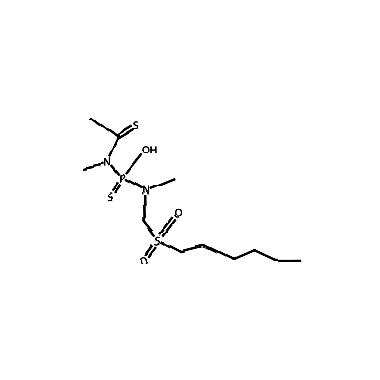 CCCCCCS(=O)(=O)CN(C)P(O)(=S)N(C)C(C)=S